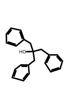 OC(Cc1ccccc1)(Cc1ccccc1)Cc1ccccc1